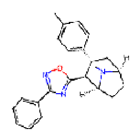 Cc1ccc([C@@H]2C[C@H]3CC[C@@H]([C@H]2c2nc(-c4ccccc4)no2)N3C)cc1